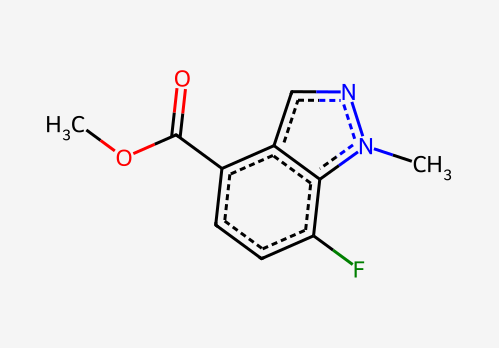 COC(=O)c1ccc(F)c2c1cnn2C